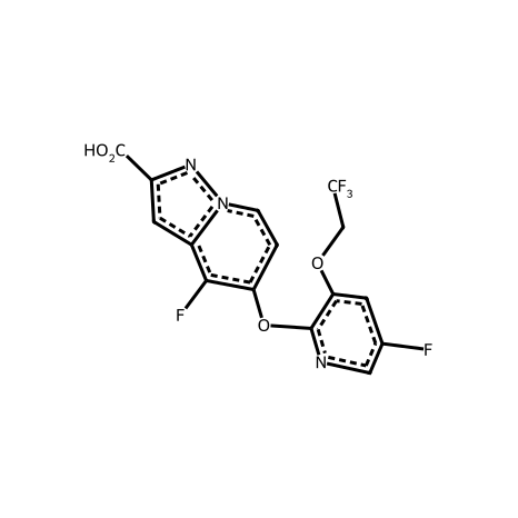 O=C(O)c1cc2c(F)c(Oc3ncc(F)cc3OCC(F)(F)F)ccn2n1